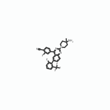 CC1(N)CCN(c2nc(-c3ccc(C#N)c(F)c3)c3cc(-c4c(F)cccc4C(F)(F)F)ccc3n2)CC1